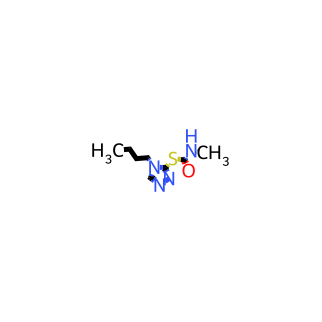 CCCCn1cnnc1SC(=O)NC